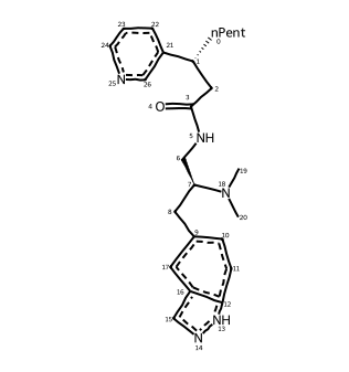 CCCCC[C@H](CC(=O)NC[C@H](Cc1ccc2[nH]ncc2c1)N(C)C)c1cccnc1